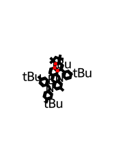 Cc1cc2c3c(c1)N(c1ccc(C(C)(C)C)cc1-c1ccc4c(c1)C(C)(C)CC4(C)C)c1cc(C(C)(C)C)ccc1B3c1cc(C(C)(C)C)ccc1N2c1ccc(C(C)(C)C)cc1